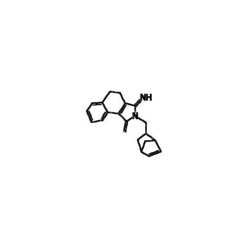 C=C1C2=C(CCc3ccccc32)C(=N)N1CC1CC2C=CC1C2